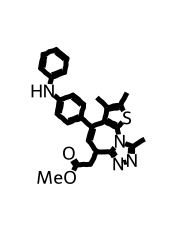 COC(=O)CC1C=C(c2ccc(Nc3ccccc3)cc2)c2c(sc(C)c2C)-n2c(C)nnc21